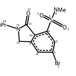 CNS(=O)(=O)c1cc(Br)cc2c1C(=O)N(C(C)C)C2